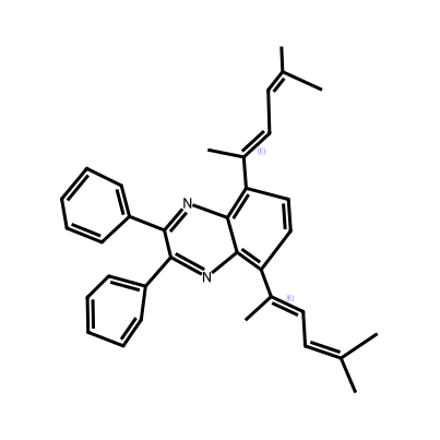 CC(C)=C/C=C(\C)c1ccc(/C(C)=C/C=C(C)C)c2nc(-c3ccccc3)c(-c3ccccc3)nc12